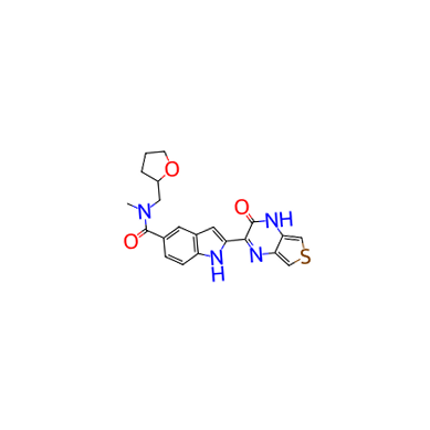 CN(CC1CCCO1)C(=O)c1ccc2[nH]c(-c3nc4cscc4[nH]c3=O)cc2c1